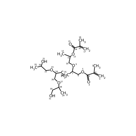 C=C(C)C(=O)OCC(C)OCC(C)OC(=O)C(=C)C.CC(O)COC(C)COC(C)CO